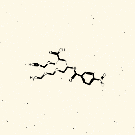 C#CCOC[C@@H](C[C@@H](COCOCC)NC(=O)c1ccc([N+](=O)[O-])cc1)C(=O)O